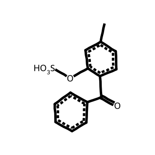 Cc1ccc(C(=O)c2ccccc2)c(OS(=O)(=O)O)c1